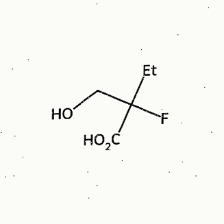 CCC(F)(CO)C(=O)O